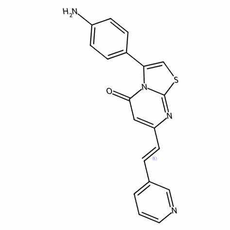 Nc1ccc(-c2csc3nc(/C=C/c4cccnc4)cc(=O)n23)cc1